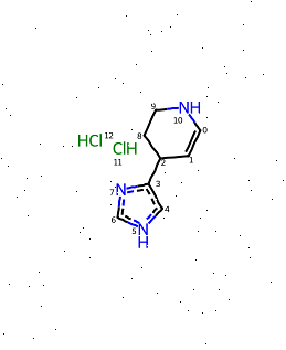 C1=CC(c2c[nH]cn2)CCN1.Cl.Cl